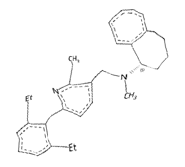 CCc1cccc(CC)c1-c1ccc(CN(C)[C@H]2CCCc3ccccc32)c(C)n1